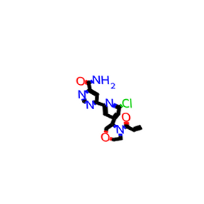 C=CC(=O)N1CCOCC1c1cc(Cl)nc(-c2cc(C(N)=O)ncn2)c1